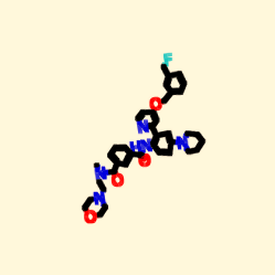 CN(CCN1CCOCC1)C(=O)c1cccc(C(=O)Nc2ccc(N3CCCCC3)cc2-c2cc(OCc3cccc(CF)c3)ccn2)c1